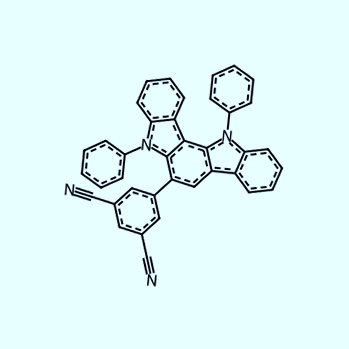 N#Cc1cc(C#N)cc(-c2cc3c4ccccc4n(-c4ccccc4)c3c3c4ccccc4n(-c4ccccc4)c23)c1